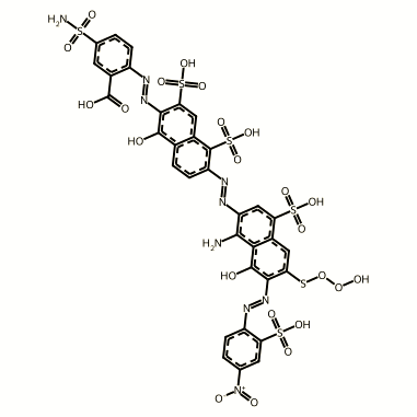 Nc1c(N=Nc2ccc3c(O)c(N=Nc4ccc(S(N)(=O)=O)cc4C(=O)O)c(S(=O)(=O)O)cc3c2S(=O)(=O)O)cc(S(=O)(=O)O)c2cc(SOOO)c(N=Nc3ccc([N+](=O)[O-])cc3S(=O)(=O)O)c(O)c12